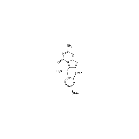 COc1ccc(C(N)C2=C3C(=O)N=C(N)N=C3N=C2)c(OC)c1